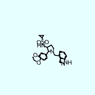 O=S(=O)(NC1CCN(Cc2cccc3[nH]ncc23)C1c1ccc2c(c1)OCCO2)C1CC1